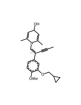 CC#C/C(=C\N1C(C)=CC(O)C=C1C)c1ccc(OC)c(OCC2CC2)c1